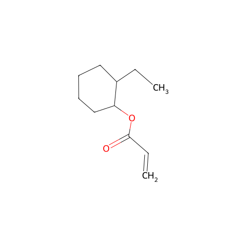 C=CC(=O)OC1CCCCC1CC